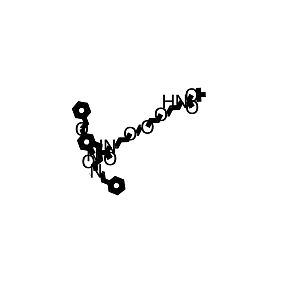 CN(CCc1ccccc1)C(=O)CC1(C(=O)NCCCOCCOCCOCCCNC(=O)OC(C)(C)C)C=c2cc(OCc3ccccc3)ccc2=N1